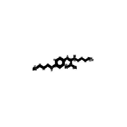 CCN(C(=Nc1ccc(OCCCC#N)cc1)NCCCN)C(C)C